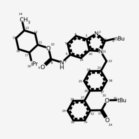 CCCCc1nc2ccc(NC(=O)OC3CC(C)CCC3C(C)C)cc2n1Cc1ccc(-c2ccccc2C(=O)OC(C)(C)C)cc1